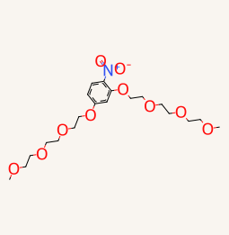 COCCOCCOCCOc1ccc([N+](=O)[O-])c(OCCOCCOCCOC)c1